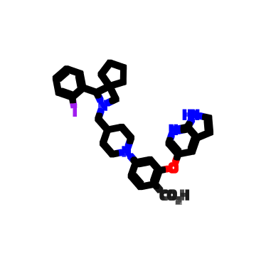 O=C(O)c1ccc(N2CCC(CN3CC4(CCCC4)C3c3ccccc3I)CC2)cc1Oc1cnc2[nH]ccc2c1